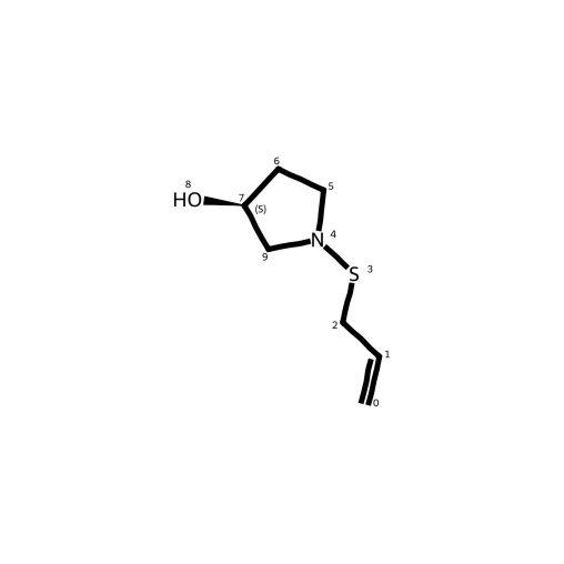 C=CCSN1CC[C@H](O)C1